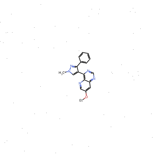 CCOc1cnc2c(-c3cn(C)nc3-c3ccccc3)ncnc2c1